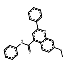 COc1ccc2c(C(=O)Nc3ccccc3)cc(-c3ccccc3)nc2c1